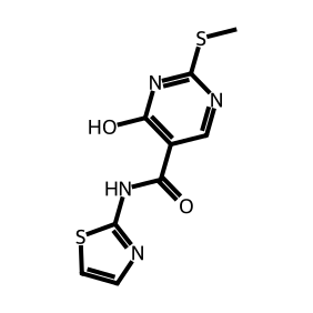 CSc1ncc(C(=O)Nc2nccs2)c(O)n1